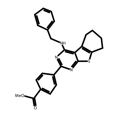 COC(=O)c1ccc(-c2nc(NCc3ccccc3)c3c4c(sc3n2)CCCC4)cc1